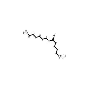 O=C(O)CCCCC(=O)OCCCCCCO